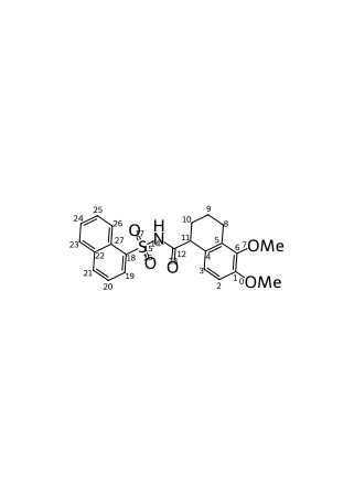 COc1ccc2c(c1OC)CCCC2C(=O)NS(=O)(=O)c1cccc2ccccc12